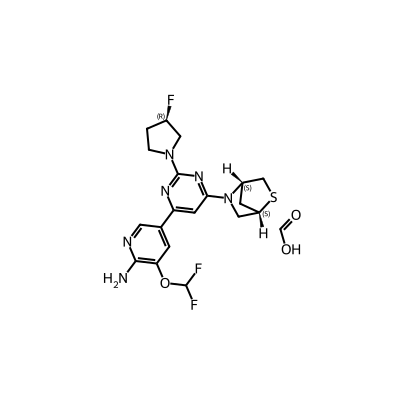 Nc1ncc(-c2cc(N3C[C@@H]4C[C@H]3CS4)nc(N3CC[C@@H](F)C3)n2)cc1OC(F)F.O=CO